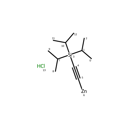 CC(C)[Si](C#[C][Zn])(C(C)C)C(C)C.Cl